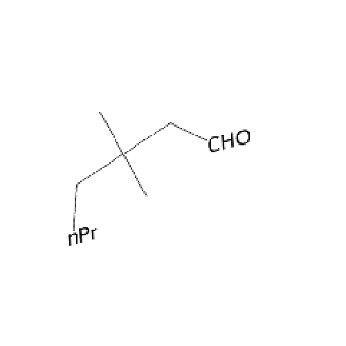 CCCCC(C)(C)CC=O